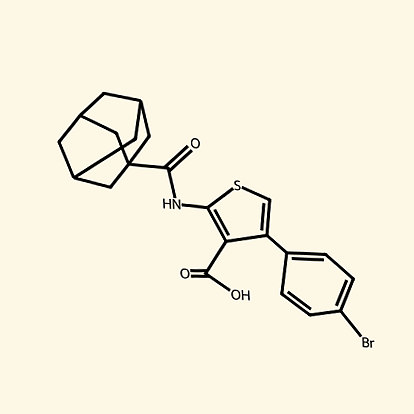 O=C(O)c1c(-c2ccc(Br)cc2)csc1NC(=O)C12CC3CC(CC(C3)C1)C2